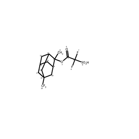 CC1(OC(=O)C(F)(F)S(=O)(=O)O)C2CC3CC1CC(C(F)(F)F)(C3)C2